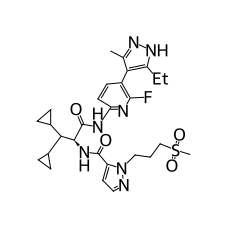 CCc1[nH]nc(C)c1-c1ccc(NC(=O)[C@@H](NC(=O)c2ccnn2CCCS(C)(=O)=O)C(C2CC2)C2CC2)nc1F